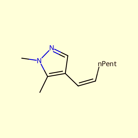 CCCCC/C=C\c1cnn(C)c1C